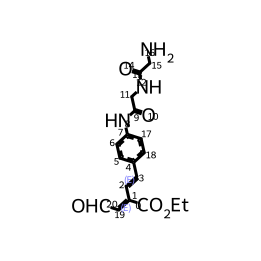 CCOC(=O)C(/C=C/c1ccc(NC(=O)CNC(=O)CN)cc1)=C/C=O